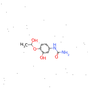 CC(O)Oc1ccc(NC(N)=O)cc1O